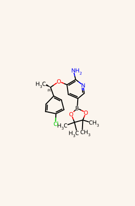 C[C@@H](Oc1cc(B2OC(C)(C)C(C)(C)O2)cnc1N)c1ccc(Cl)cc1